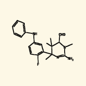 CN1C(N)=NC(C)(c2cc(Nc3ccccc3)ccc2F)C(C)(C)C1C=O